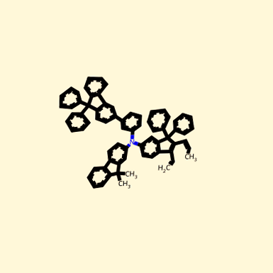 C=CC1=C(/C=C\C)C(c2ccccc2)(c2ccccc2)c2cc(N(c3cccc(-c4ccc5c(c4)-c4ccccc4C5(c4ccccc4)c4ccccc4)c3)c3ccc4c(c3)C(C)(C)c3ccccc3-4)ccc21